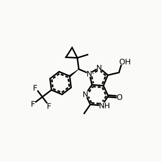 Cc1nc2c(c(CO)nn2[C@@H](c2ccc(C(F)(F)F)cc2)C2(C)CC2)c(=O)[nH]1